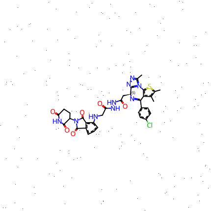 Cc1sc2c(c1C)C(c1ccc(Cl)cc1)=N[C@@H](CC(=O)NNC(=O)CNc1cccc3c1C(=O)N(C1CCC(=O)NC1=O)C3=O)c1nnc(C)n1-2